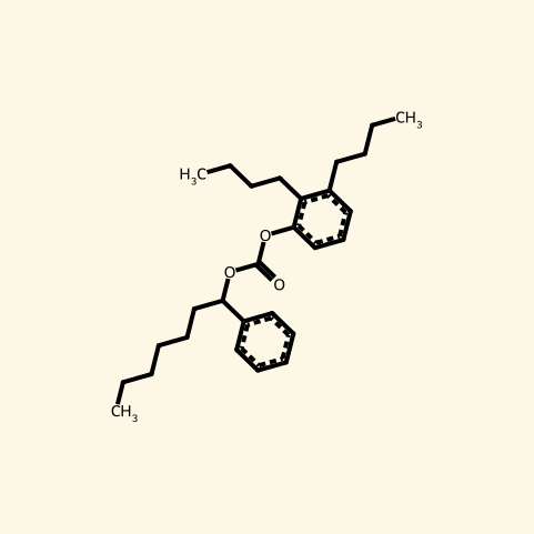 CCCCCCC(OC(=O)Oc1cccc(CCCC)c1CCCC)c1ccccc1